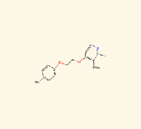 COc1c(OCCOc2ccc(C(C)(C)C)cc2)ccnc1C